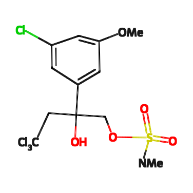 CNS(=O)(=O)OCC(O)(CC(Cl)(Cl)Cl)c1cc(Cl)cc(OC)c1